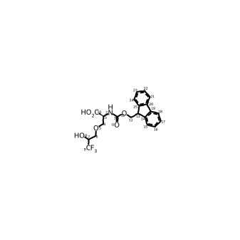 O=C(N[C@@H](COCC(O)C(F)(F)F)C(=O)O)OCC1c2ccccc2-c2ccccc21